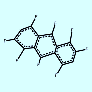 Fc1[c]c(F)c2c(F)c3c(F)c(F)[c]c(F)c3c(F)c2c1F